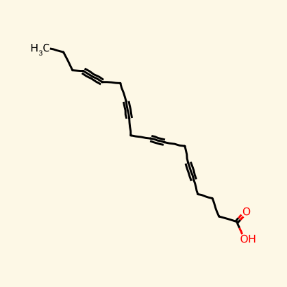 CCCC#CCC#CCC#CCC#CCCCC(=O)O